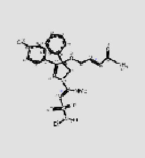 CCN(CC)S(=O)(=O)/N=C(\NC)N1CC(OC/C=C/C(N)=O)(c2ccccc2)C(c2ccc(Cl)cc2)=N1